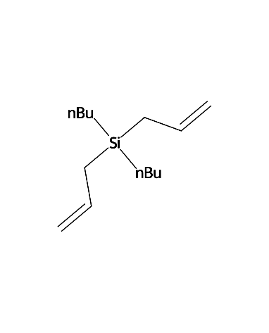 C=CC[Si](CC=C)(CCCC)CCCC